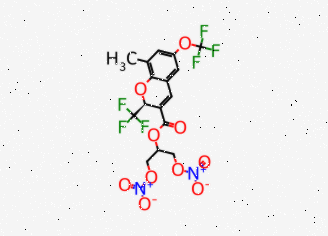 Cc1cc(OC(F)(F)F)cc2c1O[C@H](C(F)(F)F)C(C(=O)OC(CO[N+](=O)[O-])CO[N+](=O)[O-])=C2